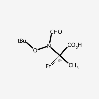 CC[C@@](C)(C(=O)O)N(C=O)OC(C)(C)C